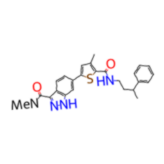 CNC(=O)c1n[nH]c2cc(-c3cc(C)c(C(=O)NCCC(C)c4ccccc4)s3)ccc12